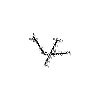 CC(C)(C)/C=C/C(=O)NCCCCCCNC(=O)CCCC(=O)N1CCN(c2nc(NCCC(=O)NCCCN)nc(N(CCC(=O)NCCCNC(=O)CCCCC(C)(C)C)CCC(=O)NCCCNC(=O)CCCCC(C)(C)C)n2)CC1